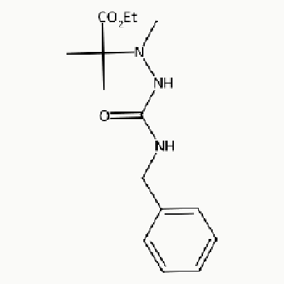 CCOC(=O)C(C)(C)N(C)NC(=O)NCc1ccccc1